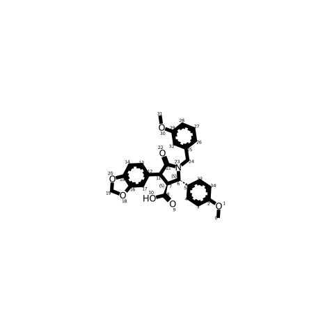 COc1ccc([C@@H]2[C@@H](C(=O)O)C(c3ccc4c(c3)OCO4)C(=O)N2Cc2cccc(OC)c2)cc1